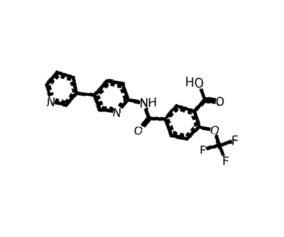 O=C(Nc1ccc(-c2cccnc2)cn1)c1ccc(OC(F)(F)F)c(C(=O)O)c1